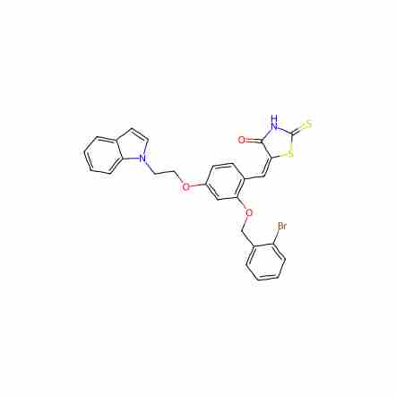 O=C1NC(=S)SC1=Cc1ccc(OCCn2ccc3ccccc32)cc1OCc1ccccc1Br